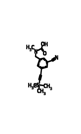 CN(Cc1cc(C#N)cc(C#C[Si](C)(C)C)c1)C(=O)O